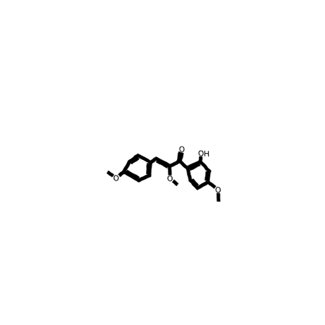 COC(=Cc1ccc(OC)cc1)C(=O)c1ccc(OC)cc1O